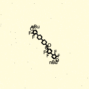 CCCCOc1ccc(-c2ccc(OC(=O)C3CCC(C4CCC(c5ccc(OCCCC)c(F)c5F)CC4)CC3)c(F)c2F)c(F)c1F